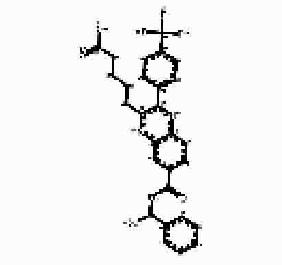 CC(NC(=O)c1ccc2nc(-c3ccc(C(F)(F)F)cc3)c(CCCCC(=O)O)nc2c1)c1ccccc1